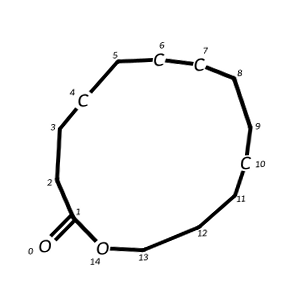 O=C1CCCCCCCCCCCCO1